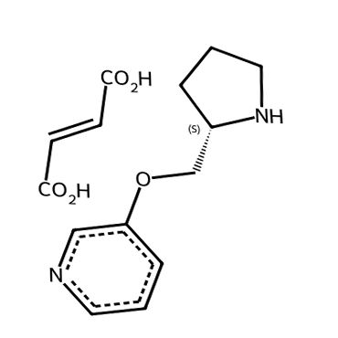 O=C(O)C=CC(=O)O.c1cncc(OC[C@@H]2CCCN2)c1